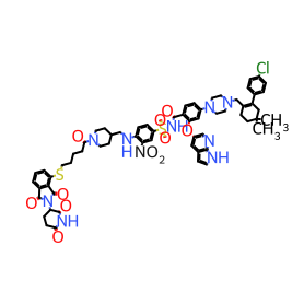 CC1(C)CCC(CN2CCN(c3ccc(C(=O)NS(=O)(=O)c4ccc(NCC5CCN(C(=O)CCCCSc6cccc7c6C(=O)N(C6CCC(=O)NC6=O)C7=O)CC5)c([N+](=O)[O-])c4)c(Oc4cnc5[nH]ccc5c4)c3)CC2)=C(c2ccc(Cl)cc2)C1